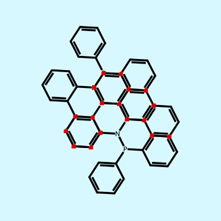 c1ccc(P(c2ccccc2)N(c2ccccc2C2CCCC(N(P(c3ccccc3)c3ccccc3)P(c3ccccc3)c3ccccc3)C2)P(c2ccccc2)c2ccccc2)cc1